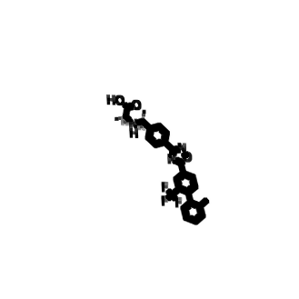 Cc1ccccc1-c1ccc(-c2nc(-c3ccc([C@@H](C)N[C@H](C)C(=O)O)cc3)no2)cc1C(F)(F)F